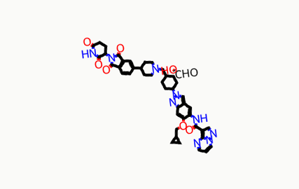 O=C1CCC(N2C(=O)c3ccc(C4CCN(CC5CCC(n6cc7cc(NC(=O)c8cnn9cccnc89)c(OCC8CC8)cc7n6)CC5)CC4)cc3C2=O)C(=O)N1.O=CO